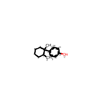 CC1CCCCC1(C)c1ccc(O)cc1